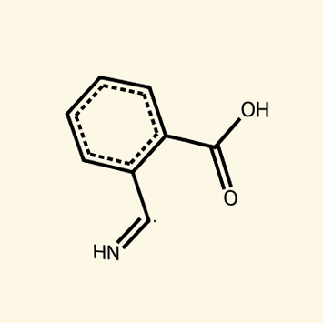 N=[C]c1ccccc1C(=O)O